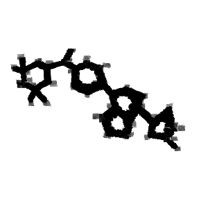 CN(c1ccc(-c2ccc(-c3cnn(C)c3)c3scnc23)nn1)C1CC(C)(C)NC(C)(C)C1